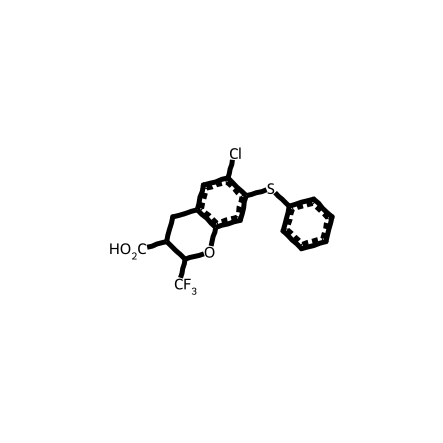 O=C(O)C1Cc2cc(Cl)c(Sc3ccccc3)cc2OC1C(F)(F)F